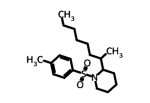 CCCCCCC(C)C1CCCCN1S(=O)(=O)c1ccc(C)cc1